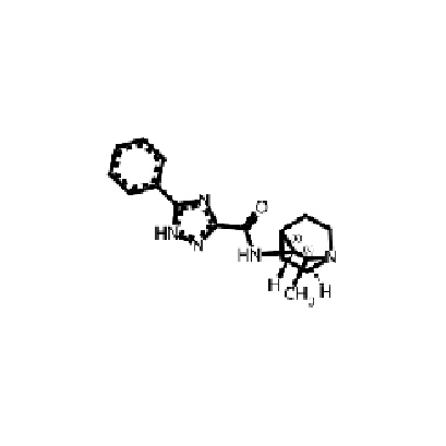 C[C@H]1[C@H](NC(=O)c2n[nH]c(-c3ccccc3)n2)C2CCN1CC2